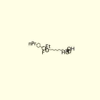 CCCC1CCC(c2cc(F)c(OCCCCCCCCCCCP(=O)(O)O)c(CC)c2)CC1